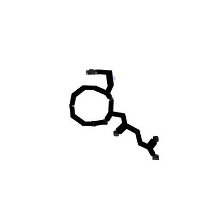 CCCCCCCC/C=C\C1CCCCCCSSC(CC(=O)CCC(=O)CC)S1